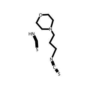 N=C=S.S=C=NCCCN1CCOCC1